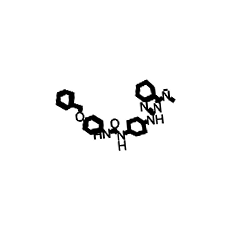 CN(C)c1nc(NC2CCC(NC(=O)Nc3ccc(OCc4ccccc4)cc3)CC2)nc2c1CCCC2